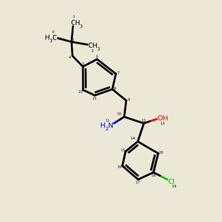 CC(C)(C)Cc1ccc(CC(N)C(O)c2cccc(Cl)c2)cc1